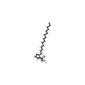 CCCCCCCCCCCCCCCCN1CCCC1C(N)=O